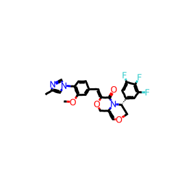 COc1cc(C=C2OCC3=COC[C@@H](c4cc(F)c(F)c(F)c4)N3C2=O)ccc1-n1cnc(C)c1